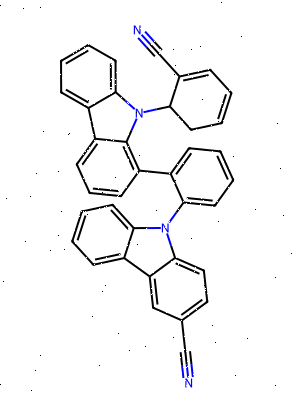 N#CC1=CC=CCC1n1c2ccccc2c2cccc(-c3ccccc3-n3c4ccccc4c4cc(C#N)ccc43)c21